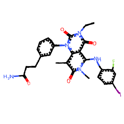 CCn1c(=O)c2c(Nc3ccc(I)cc3F)n(C)c(=O)c(C)c2n(-c2cccc(CCC(N)=O)c2)c1=O